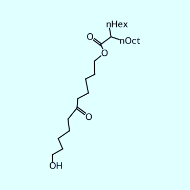 CCCCCCCCC(CCCCCC)C(=O)OCCCCCC(=O)CCCCCO